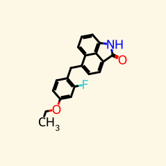 CCOc1ccc(Cc2ccc3c4c(cccc24)NC3=O)c(F)c1